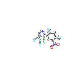 O=[N+]([O-])c1cc(-c2ncnc(C(F)F)c2Cl)c(F)cc1F